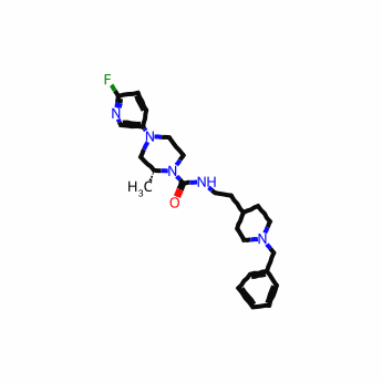 C[C@@H]1CN(c2ccc(F)nc2)CCN1C(=O)NCCC1CCN(Cc2ccccc2)CC1